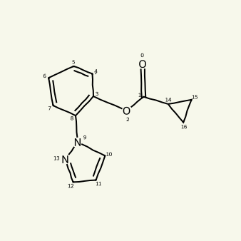 O=C(Oc1[c]cccc1-n1cccn1)C1CC1